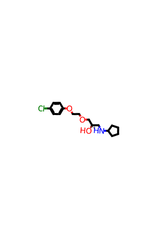 O[C@H](CNC1CCCC1)COCCOc1ccc(Cl)cc1